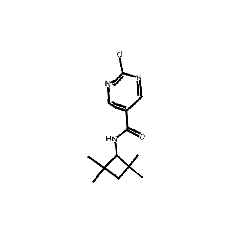 CC1(C)CC(C)(C)C1NC(=O)c1cnc(Cl)nc1